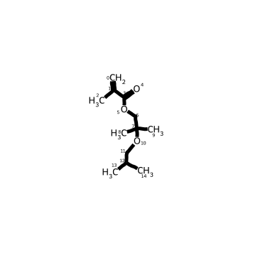 C=C(C)C(=O)OCC(C)(C)OCC(C)C